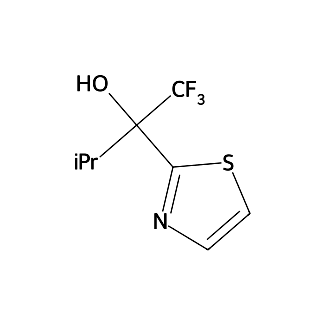 CC(C)C(O)(c1nccs1)C(F)(F)F